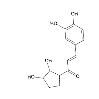 O=C(C=Cc1ccc(O)c(O)c1)C1CCC(O)C1O